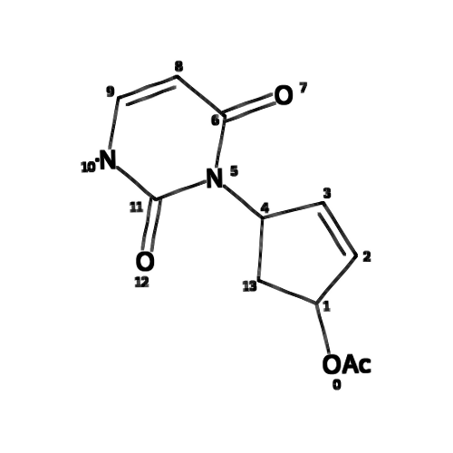 CC(=O)OC1C=CC(N2C(=O)C=C[N]C2=O)C1